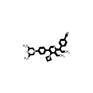 C=C/C(c1ccc(C#N)cc1)=c1/ncc(-c2ccc(N3CC(C)OC(C)C3)cc2)c(N2CCC2)/c1=C/C